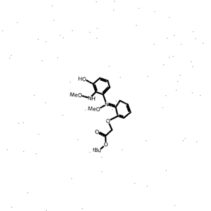 CONc1c(O)cccc1/[N+](OC)=C1\CC=CC=C1OCC(=O)OC(C)(C)C